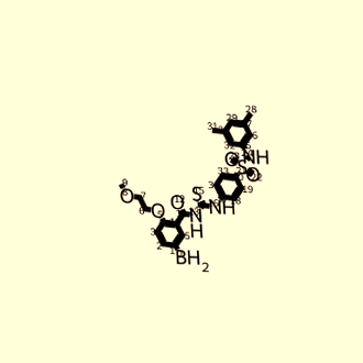 Bc1ccc(OCCOC)c(C(=O)NC(=S)Nc2ccc(S(=O)(=O)Nc3cc(C)cc(C)c3)cc2)c1